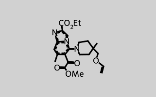 C=COCC1(C)CCN(c2c(C(=O)C(=O)OC)c(C)cc3nc(C(=O)OCC)cn23)CC1